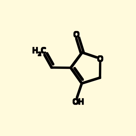 C=CC1=C(O)COC1=O